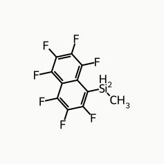 C[SiH2]c1c(F)c(F)c(F)c2c(F)c(F)c(F)c(F)c12